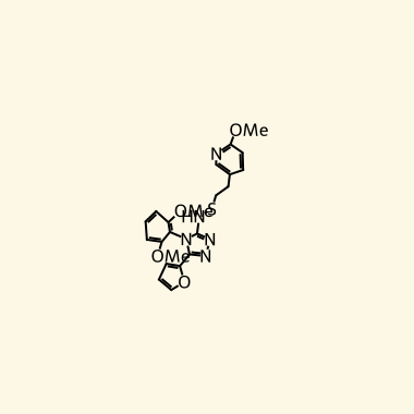 COc1ccc(CCSNc2nnc(-c3ccco3)n2-c2c(OC)cccc2OC)cn1